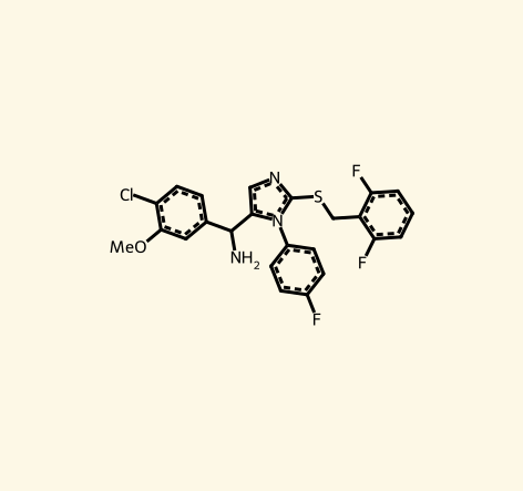 COc1cc(C(N)c2cnc(SCc3c(F)cccc3F)n2-c2ccc(F)cc2)ccc1Cl